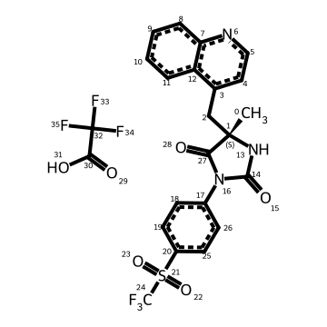 C[C@@]1(Cc2ccnc3ccccc23)NC(=O)N(c2ccc(S(=O)(=O)C(F)(F)F)cc2)C1=O.O=C(O)C(F)(F)F